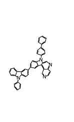 c1ccc(-c2ccc(-n3c4ccc(-c5ccc6c(c5)c5ccccc5n6-c5ccccc5)cc4c4c5cnccc5ncc43)cc2)cc1